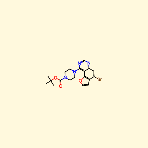 CC(C)(C)OC(=O)N1CCN(c2ncnc3cc(Br)c4ccoc4c23)CC1